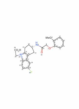 COc1ccccc1OCC(=O)N[C@H]1CCc2c(c3cc(F)ccc3n2CC(=O)O)C1